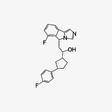 OC(CC1c2c(F)cccc2-c2cncn21)C1CCC(c2ccc(F)cc2)C1